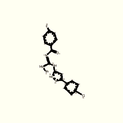 CC(C)N/C(=N/C(=O)c1ccc(F)cc1)Nc1cc(-c2ccc(Cl)cc2)n[nH]1